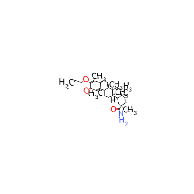 C=CCOC1=C(C)C2=CC=C3[C@@](C)(CC[C@@]4(C)[C@@H]5C[C@](C)(C(N)=O)CC[C@]5(C)CC[C@]34C)C2=CC1=O